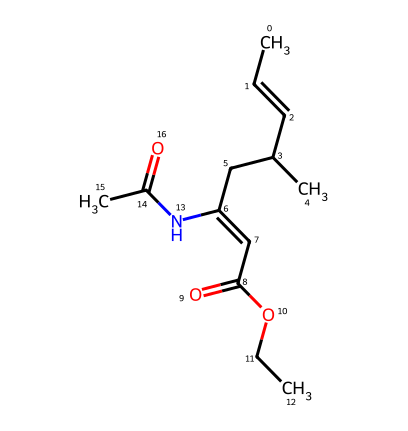 CC=CC(C)CC(=CC(=O)OCC)NC(C)=O